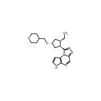 CC[C@@H]1C[C@@H](OCC2CCOCC2)C[C@@H]1c1nnc2cnc3[nH]ccc3n12